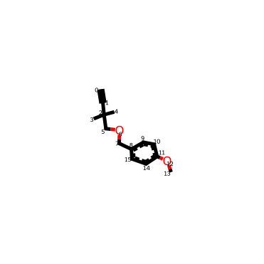 C#CC(C)(C)COCc1ccc(OC)cc1